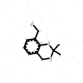 CC1(C)OCc2cccc(CCl)c2O1